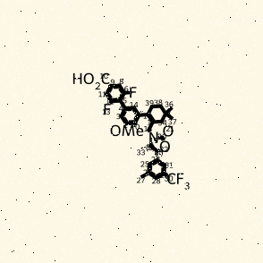 COc1ccc(-c2c(F)cc(C(=O)O)cc2F)cc1C1=C(CN2C(=O)O[C@H](c3cc(C)cc(C(F)(F)F)c3)[C@@H]2C)CC(C)(C)CC1